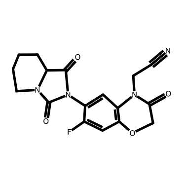 N#CCN1C(=O)COc2cc(F)c(N3C(=O)C4CCCCN4C3=O)cc21